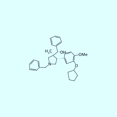 COc1ccc([C@@H]2CN(Cc3ccccc3)C[C@@]2(C)[C@@H](O)c2ccccc2)cc1OC1CCCC1